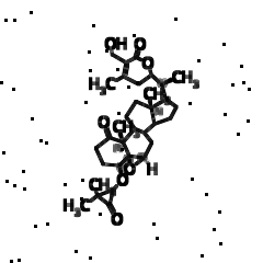 CC1=C(CO)C(=O)OC([C@@H](C)C2CCC3C4C[C@H]5O[C@]56[C@@H](OC5C(=O)C5(C)C)CCC(=O)[C@]6(C)C4CC[C@@]32C)C1